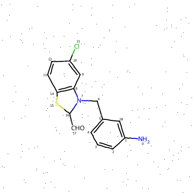 Nc1cccc(CN2c3cc(Cl)ccc3SC2C=O)c1